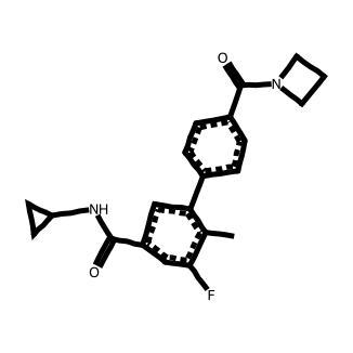 Cc1c(F)cc(C(=O)NC2CC2)cc1-c1ccc(C(=O)N2CCC2)cc1